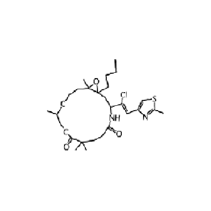 CCCCC12CC(C(Cl)=Cc3csc(C)n3)NC(=O)CCC(C)(C)C(=O)CCC(C)CCCC1(C)O2